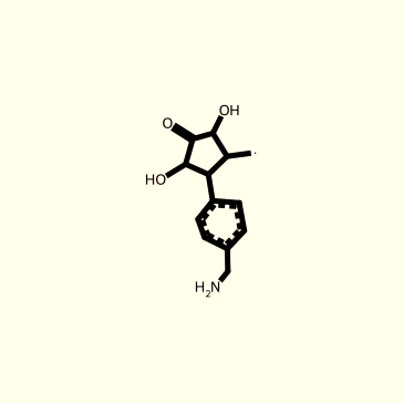 [CH2]C1C(O)C(=O)C(O)C1c1ccc(CN)cc1